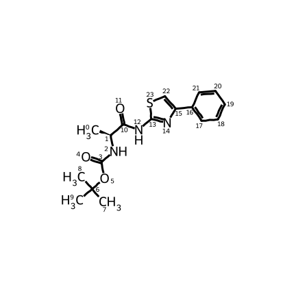 C[C@H](NC(=O)OC(C)(C)C)C(=O)Nc1nc(-c2ccccc2)cs1